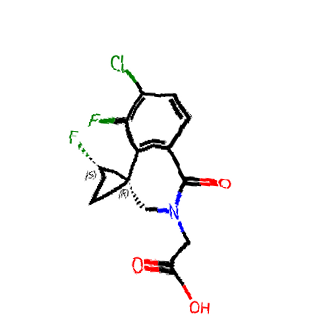 O=C(O)CN1C[C@@]2(C[C@@H]2F)c2c(ccc(Cl)c2F)C1=O